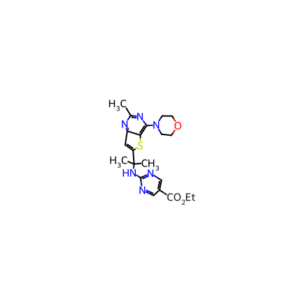 CCOC(=O)c1cnc(NC(C)(C)c2cc3nc(C)nc(N4CCOCC4)c3s2)nc1